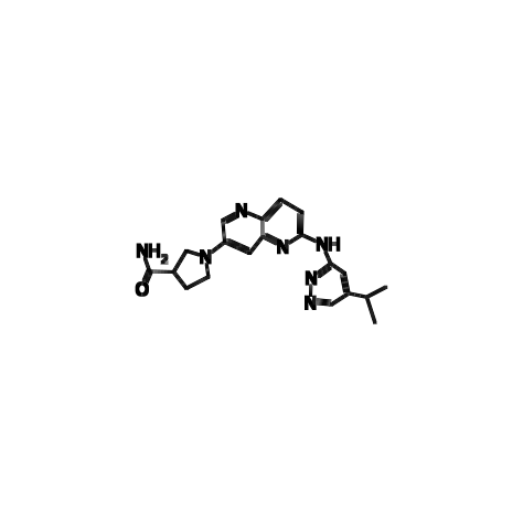 CC(C)c1cnnc(Nc2ccc3ncc(N4CCC(C(N)=O)C4)cc3n2)c1